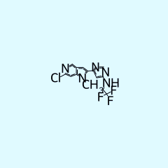 Cn1c(-c2cc(NCC(F)(F)F)ncn2)cc2cnc(Cl)cc21